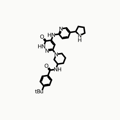 CC(C)(C)c1ccc(C(=O)NC2CCCN(c3cc(Nc4ccc(C5CCCN5)cn4)c(=O)[nH]n3)C2)cc1